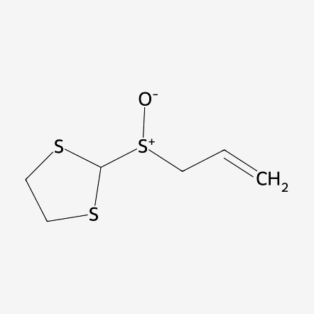 C=CC[S+]([O-])C1SCCS1